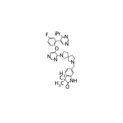 CC(C)c1ncncc1-c1cc(F)ccc1Oc1cncnc1N1CCC2(CCN(Cc3ccc4c(c3)NC(=O)C4(C)C)C2)C1